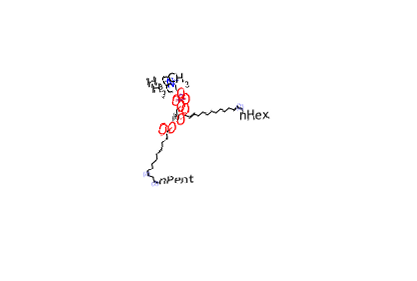 CCCCC/C=C\C/C=C\CCCCCCCC(=O)OC[C@H](COP(=O)([O-])OCC[N+](C)(C)C)OC(=O)CCCCCCCCCCC/C=C\CCCCCC